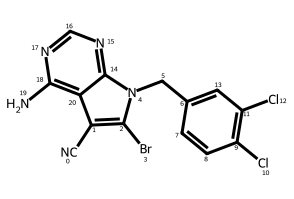 N#Cc1c(Br)n(Cc2ccc(Cl)c(Cl)c2)c2ncnc(N)c12